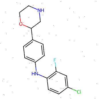 Fc1cc(Cl)ccc1Nc1ccc(C2CNCCO2)cc1